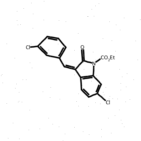 CCOC(=O)N1C(=O)C(=Cc2cccc(Cl)c2)c2ccc(Cl)cc21